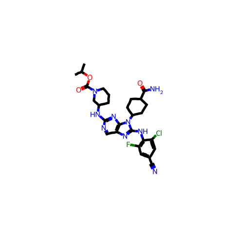 CC(C)OC(=O)N1CCCC(Nc2ncc3nc(Nc4c(F)cc(C#N)cc4Cl)n(C4CCC(C(N)=O)CC4)c3n2)C1